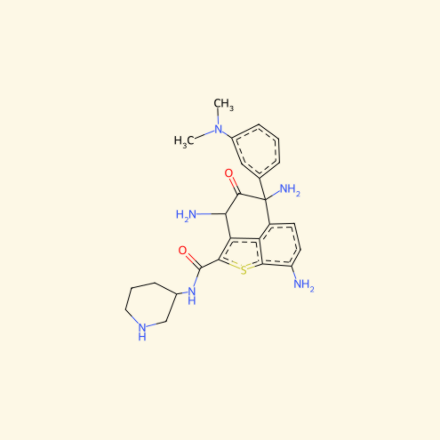 CN(C)c1cccc(C2(N)C(=O)C(N)c3c(C(=O)NC4CCCNC4)sc4c(N)ccc2c34)c1